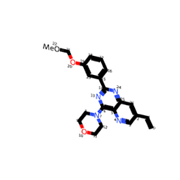 C=Cc1cnc2c(N3CCOCC3)nc(-c3cccc(OCOC)c3)nc2c1